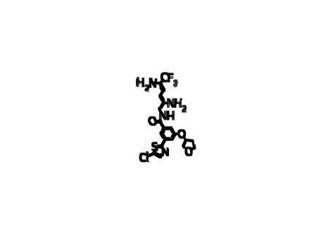 N/C(=C\C=C(/N)C(F)(F)F)CNC(=O)c1cc(OC2CCOC2)cc(-c2ncc(Cl)s2)c1